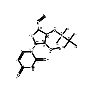 C=C[C@H]1O[C@@H](n2ccc(=O)[nH]c2=O)[C@H](OC)[C@@H]1O[Si](C)(C)C(C)(C)C